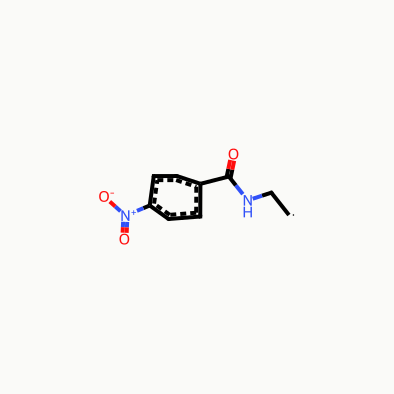 [CH2]CNC(=O)c1ccc([N+](=O)[O-])cc1